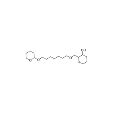 OC1CCCOC1COCCCCCCCOC1CCCCO1